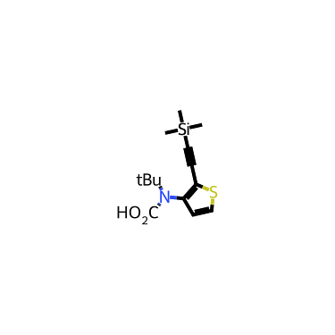 CC(C)(C)N(C(=O)O)c1ccsc1C#C[Si](C)(C)C